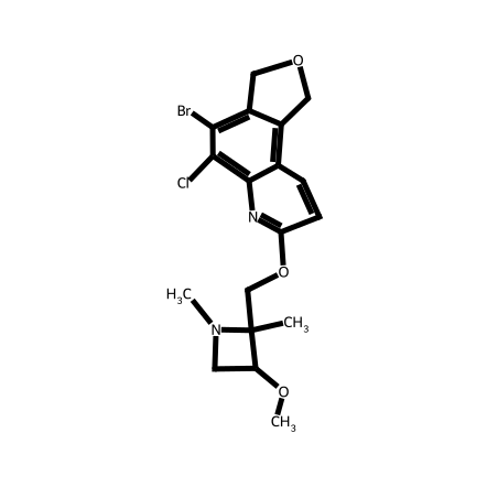 COC1CN(C)C1(C)COc1ccc2c3c(c(Br)c(Cl)c2n1)COC3